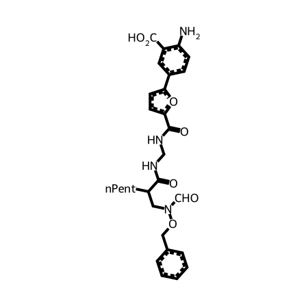 CCCCCC(CN(C=O)OCc1ccccc1)C(=O)NCNC(=O)c1ccc(-c2ccc(N)c(C(=O)O)c2)o1